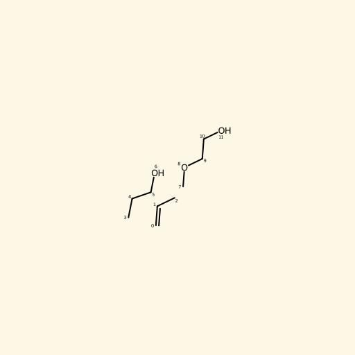 C=CC.CCCO.COCCO